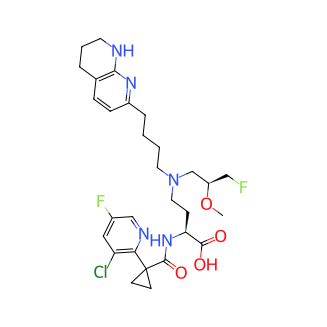 CO[C@H](CF)CN(CCCCc1ccc2c(n1)NCCC2)CC[C@H](NC(=O)C1(c2ncc(F)cc2Cl)CC1)C(=O)O